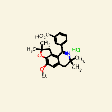 CCOc1cc2c(c3c1OC(C)(C)C3)C(c1cccc(C(=O)O)c1)=NC(C)(C)C2.Cl